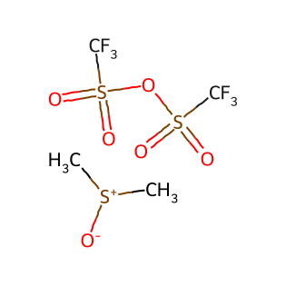 C[S+](C)[O-].O=S(=O)(OS(=O)(=O)C(F)(F)F)C(F)(F)F